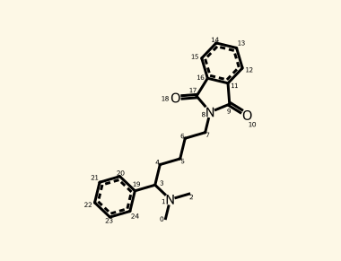 CN(C)C(CCCCN1C(=O)c2ccccc2C1=O)c1ccccc1